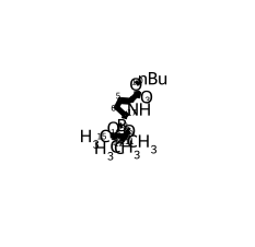 CCCCOC(=O)C1=CCC(B2OC(C)(C)C(C)(C)O2)N1